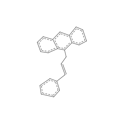 C(=Cc1ccccc1)Cc1c2ccccc2cc2ccccc12